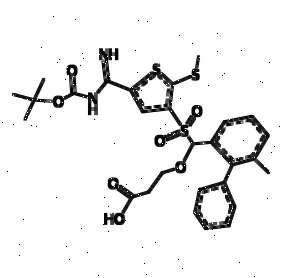 CSc1sc(C(=N)NC(=O)OC(C)(C)C)cc1S(=O)(=O)C(OCCC(=O)O)c1cccc(C)c1-c1ccccc1